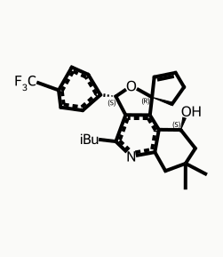 CCC(C)c1nc2c(c3c1[C@H](c1ccc(C(F)(F)F)cc1)O[C@]31C=CCC1)[C@@H](O)CC(C)(C)C2